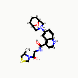 N#CC1CSCN1C(=O)CNC(=O)c1ccnc2ccc(N3CC4CCCC(C3)O4)cc12